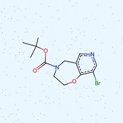 CC(C)(C)OC(=O)N1CCOc2c(Br)cncc2C1